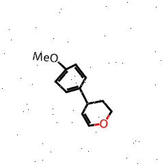 COc1ccc(C2C=COCC2)cc1